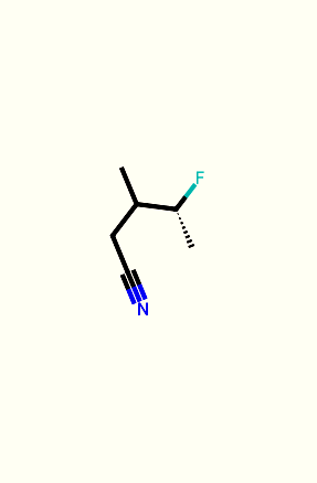 CC(CC#N)[C@@H](C)F